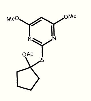 COc1cc(OC)nc(SC2(OC(C)=O)CCCC2)n1